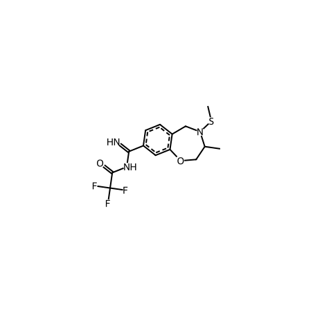 CSN1Cc2ccc(C(=N)NC(=O)C(F)(F)F)cc2OCC1C